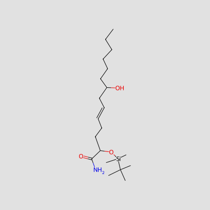 CCCCCCC(O)C/C=C/CCC(O[Si](C)(C)C(C)(C)C)C(N)=O